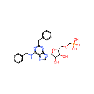 O=P(O)(O)COC[C@H]1O[C@@H](n2cnc3c(NCc4ccccc4)nc(Cc4ccccc4)nc32)[C@H](O)[C@@H]1O